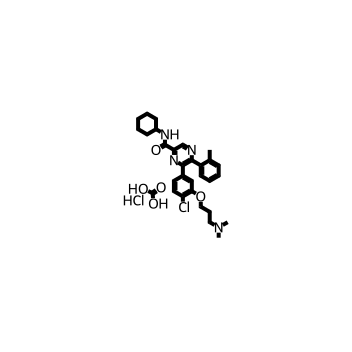 Cc1ccccc1-c1ncc(C(=O)NC2CCCCC2)nc1-c1ccc(Cl)c(OCCCN(C)C)c1.Cl.O=C(O)O